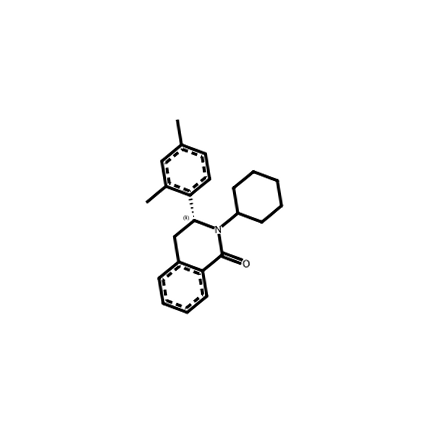 Cc1ccc([C@H]2Cc3ccccc3C(=O)N2C2CCCCC2)c(C)c1